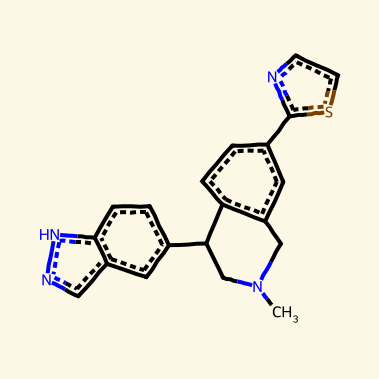 CN1Cc2cc(-c3nccs3)ccc2C(c2ccc3[nH]ncc3c2)C1